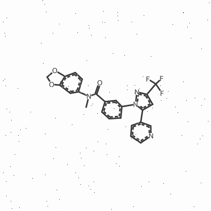 CN(C(=O)c1cccc(-n2nc(C(F)(F)F)cc2-c2cccnc2)c1)c1ccc2c(c1)OCO2